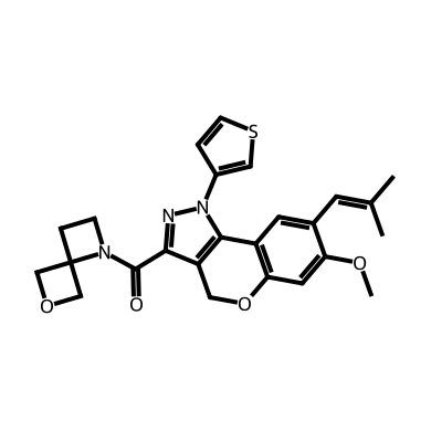 COc1cc2c(cc1C=C(C)C)-c1c(c(C(=O)N3CCC34COC4)nn1-c1ccsc1)CO2